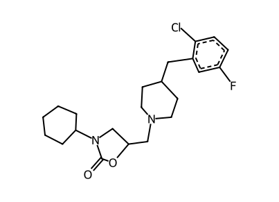 O=C1OC(CN2CCC(Cc3cc(F)ccc3Cl)CC2)CN1C1CCCCC1